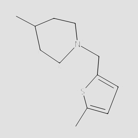 Cc1ccc(CN2CCC(C)CC2)s1